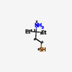 CCC(N)(CC)CCS